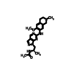 COc1cc2c(cc1Nc1ncc3cnn(C[C@H](C)NC(C)=O)c3n1)CN(C)CC2